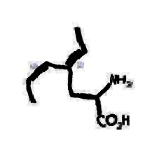 C/C=C\C(=C/C)CC(N)C(=O)O